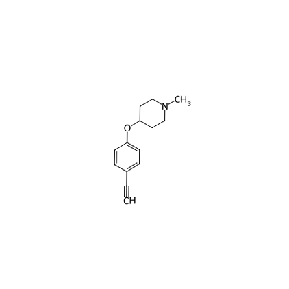 C#Cc1ccc(OC2CCN(C)CC2)cc1